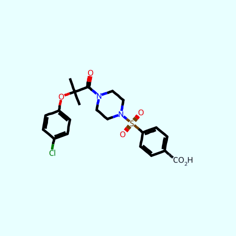 CC(C)(Oc1ccc(Cl)cc1)C(=O)N1CCN(S(=O)(=O)c2ccc(C(=O)O)cc2)CC1